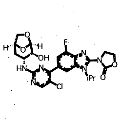 CC(C)n1c(N2CCOC2=O)nc2c(F)cc(-c3nc(N[C@@H]4C[C@H]5CO[C@H](O5)[C@H]4O)ncc3Cl)cc21